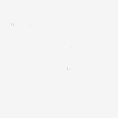 CNCCCC(=O)N1CCOC2CCCCC21